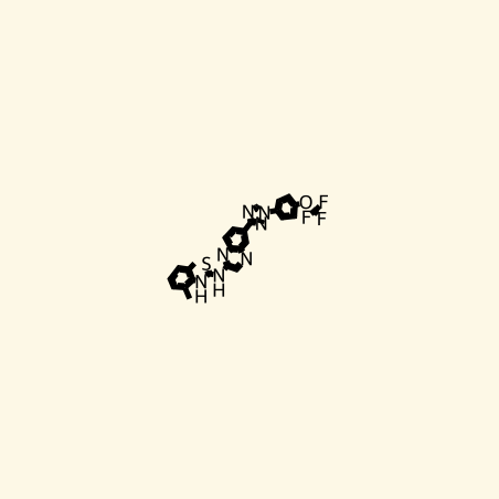 Cc1cccc(C)c1NC(=S)Nc1cnc2cc(-c3ncn(-c4ccc(OC(F)(F)F)cc4)n3)ccc2n1